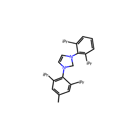 Cc1cc(C(C)C)c(N2C=CN(c3c(C(C)C)cccc3C(C)C)C2)c(C(C)C)c1